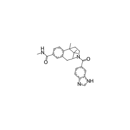 CNC(=O)c1ccc2c(c1)CC1N(C(=O)c3ccc4nc[nH]c4c3)CCC2(C)C1(C)C